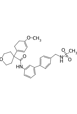 COC1=CC=C(C2(C(=O)Nc3cccc(-c4ccc(CNS(C)(=O)=O)cc4)c3)CCOCC2)CC1